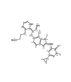 COCCOC1=NC=CN/C1=C(\C=N)Oc1cnc2nc(Nc3cc(C4CC4)cn(C)c3=O)n(C)c2c1Cl